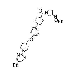 CCON=C1CCN(C(=O)C2CC=C(c3ccc(OCC4CCN(c5ncc(CC)cn5)CC4)cc3)CC2)C1